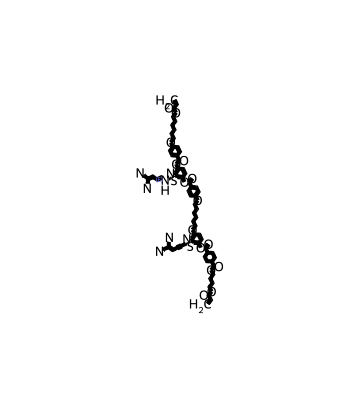 C=CC(=O)OCCCCCCOc1ccc(C(=O)Oc2ccc(OC(=O)c3ccc(OCCCCCCOc4ccc(OC(=O)C5CCC(C(=O)OCCCCOC(=O)C=C)CC5)c5sc(C#CC=C(C#N)C#N)nc45)cc3)c3sc(N/C=C/C=C(C#N)C#N)nc23)cc1